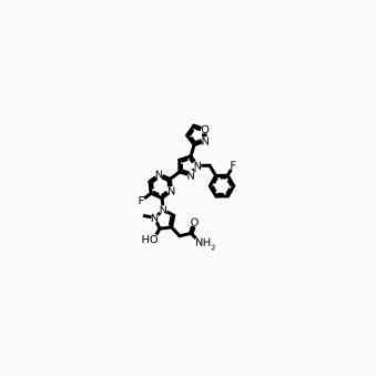 CN1C(O)C(CC(N)=O)=CN1c1nc(-c2cc(-c3ccon3)n(Cc3ccccc3F)n2)ncc1F